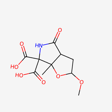 COC1CC2C(=O)NC(C(=O)O)(C(=O)O)C2(C)O1